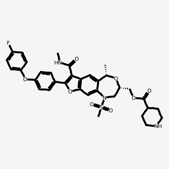 CNC(=O)c1c(-c2ccc(Oc3ccc(F)cc3)cc2)oc2cc3c(cc12)[C@H](C)O[C@H](COC(=O)C1CCNCC1)CN3S(C)(=O)=O